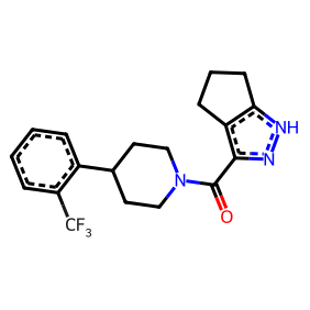 O=C(c1n[nH]c2c1CCC2)N1CCC(c2ccccc2C(F)(F)F)CC1